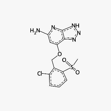 CS(=O)(=O)c1cccc(Cl)c1COc1cc(N)nc2[nH]nnc12